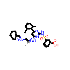 Cc1cccc(C)c1-c1cc(N[C@H](C)CNCc2ccccc2)nc(NS(=O)(=O)c2cccc(C(=O)O)c2)n1